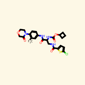 O=C(NC(CNC(=O)c1ccc(Cl)s1)C(=O)Nc1ccc(N2CCOCC2=O)c(C(F)(F)F)c1)OC1CCC1